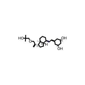 C=C(COCC(C)(C)O)[C@H]1CC[C@H]2/C(=C/C=C3C[C@@H](O)C[C@H](O)C3)CCC[C@]12C